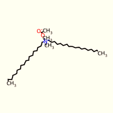 CC(=O)[O-].CCCCCCCCCCCCCCCCCC[N+](C)(C)CCCCCCCCCCCCCCCCCC